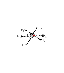 CCCCCCCCCCCCCC(CCCCCCCCCCCC)[O][Ti]([O]C(C)C)([O]C(CCCCCCCCCCCC)CCCCCCCCCCCCC)[O]C(CCCCCCCCCCCC)CCCCCCCCCCCCC